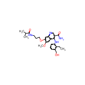 CCc1c(CO)cccc1Nc1c(C(N)=O)cnc2cc(OCCCNC(=O)C(C)C)c(OC)cc12